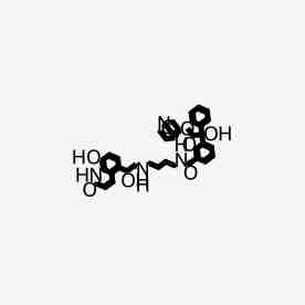 O=C(NCCCCNCC(O)c1ccc(O)c2[nH]c(=O)ccc12)c1cccc(C(O)(C(=O)OC2CN3CCC2CC3)c2ccccc2)c1